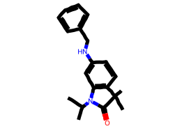 CC(C)N1C(=O)C(C)(C)c2ccc(NCc3ccccc3)cc21